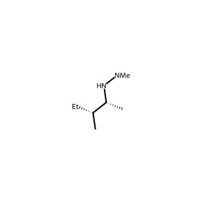 CC[C@@H](C)[C@@H](C)NNC